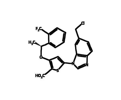 C[C@@H](Oc1cc(-n2cnc3ccc(CCl)cc32)sc1C(=O)O)c1ccccc1C(F)(F)F